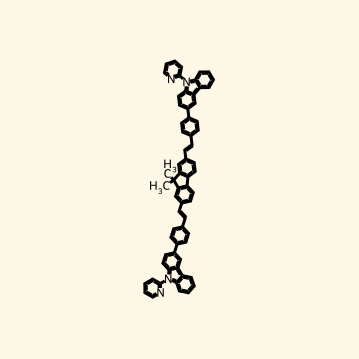 CC1(C)c2cc(/C=C/c3ccc(-c4ccc5c(c4)c4ccccc4n5-c4ccccn4)cc3)ccc2-c2ccc(/C=C/c3ccc(-c4ccc5c(c4)c4ccccc4n5-c4ccccn4)cc3)cc21